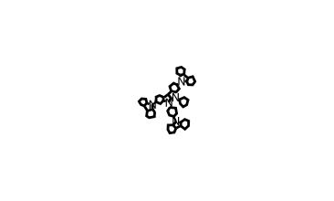 c1ccc(-n2c3cc(-n4c5ccccc5c5ccccc54)ccc3c3c4ccc(-n5c6ccccc6c6ccccc65)cc4n(-c4ccc(-n5c6ccccc6c6ccccc65)cc4)c32)cc1